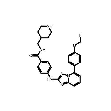 O=C(NCC1CCNCC1)c1ccc(Nc2nc3cccc(-c4ccc(OCF)cc4)n3n2)cc1